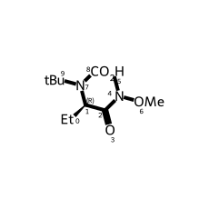 CC[C@H](C(=O)N(C)OC)N(C(=O)O)C(C)(C)C